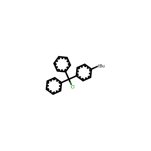 CC(C)(C)c1ccc(C(Cl)(c2ccccc2)c2ccccc2)cc1